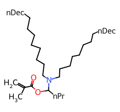 C=C(C)C(=O)OC(CCC)N(CCCCCCCCCCCCCCCCCC)CCCCCCCCCCCCCCCCCC